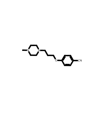 CN1CCN(CCCOc2ccc(C#N)cc2)CC1